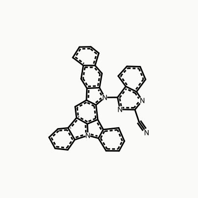 N#Cc1nc(-n2c3cc4ccccc4cc3c3cc4c5ccccc5n5c6ccccc6c(c32)c45)c2ccccc2n1